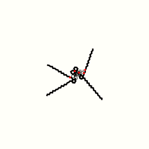 CCCCCCCCCCCCCCCCCCc1cccc(OC(=O)NC2(CC3(NC(=O)Oc4cccc(CCCCCCCCCCCCCCCCCC)c4CCCCCCCCCCCCCCCCCC)CCCCC3)CCCCC2)c1CCCCCCCCCCCCCCCCCC